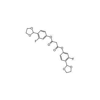 O=C(CC(=O)Oc1ccc(C2OCCO2)c(F)c1)Oc1ccc(C2OCCO2)c(F)c1